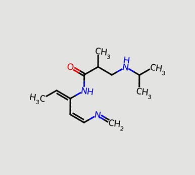 C=N/C=C\C(=C/C)NC(=O)C(C)CNC(C)C